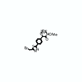 CCOC(C(=O)N(C)OC)c1ccc(-c2nnc(CBr)s2)cc1